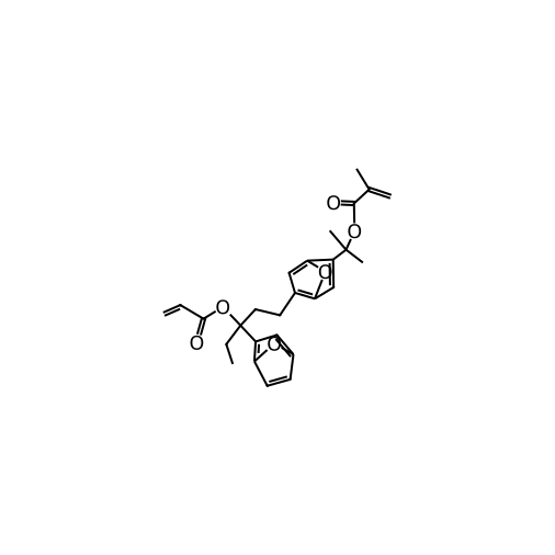 C=CC(=O)OC(CC)(CCc1cc2oc1cc2C(C)(C)OC(=O)C(=C)C)c1cc2ccc1o2